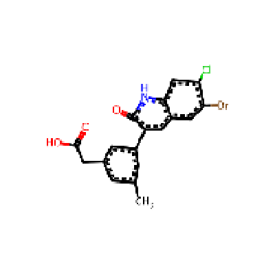 Cc1cc(CC(=O)O)cc(-c2cc3cc(Br)c(Cl)cc3[nH]c2=O)c1